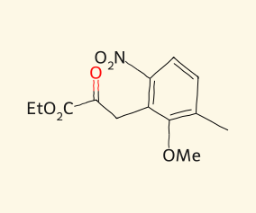 CCOC(=O)C(=O)Cc1c([N+](=O)[O-])ccc(C)c1OC